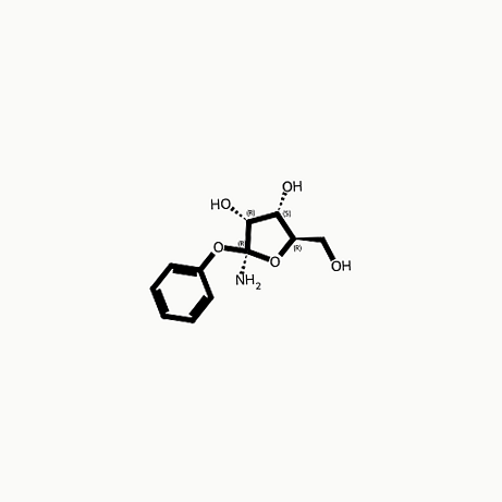 N[C@@]1(Oc2ccccc2)O[C@H](CO)[C@@H](O)[C@H]1O